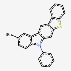 CC(C)(C)c1ccc2c(c1)c1cc3c(cc1n2-c1ccccc1)sc1ccccc13